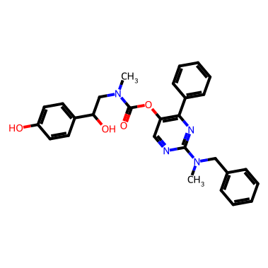 CN(CC(O)c1ccc(O)cc1)C(=O)Oc1cnc(N(C)Cc2ccccc2)nc1-c1ccccc1